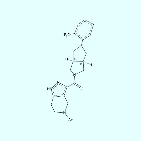 CC(=O)N1CCc2[nH]nc(C(=O)N3C[C@H]4CC(c5ccccc5C(F)(F)F)C[C@H]4C3)c2C1